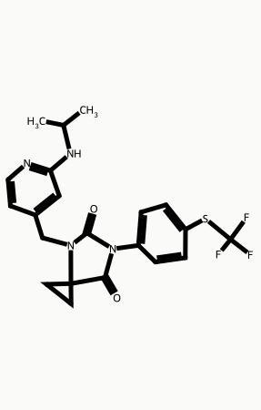 CC(C)Nc1cc(CN2C(=O)N(c3ccc(SC(F)(F)F)cc3)C(=O)C23CC3)ccn1